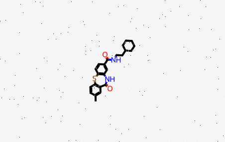 Cc1ccc2c(c1)C(=O)Nc1cc(C(=O)NCCC3CCCCC3)ccc1S2